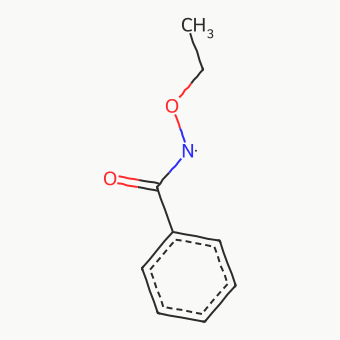 CCO[N]C(=O)c1ccccc1